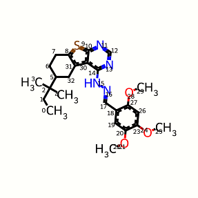 CCC(C)(C)C1CCc2sc3ncnc(N/N=C/c4cc(OC)c(OC)cc4OC)c3c2C1